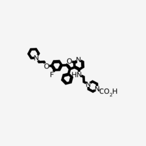 O=C(O)N1CCN(CCNc2ccnc3oc(-c4ccc(OCCN5CCCCC5)c(F)c4)c(-c4ccccc4)c23)CC1